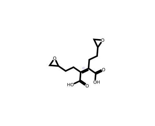 O=C(O)/C(CCC1CO1)=C(/CCC1CO1)C(=O)O